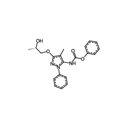 Cc1c(OC[C@H](C)O)nn(-c2ccccc2)c1NC(=O)Oc1ccccc1